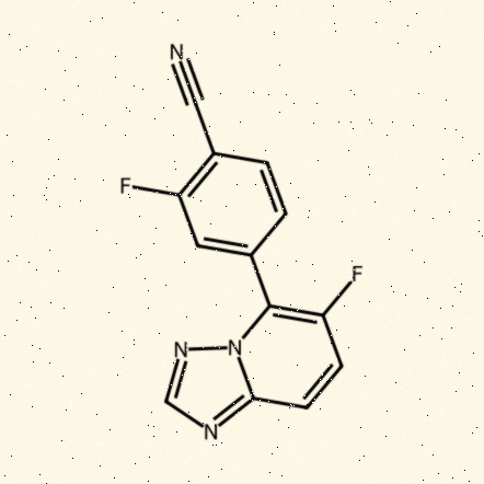 N#Cc1ccc(-c2c(F)ccc3ncnn23)cc1F